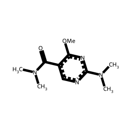 COc1nc(N(C)C)ncc1C(=O)N(C)C